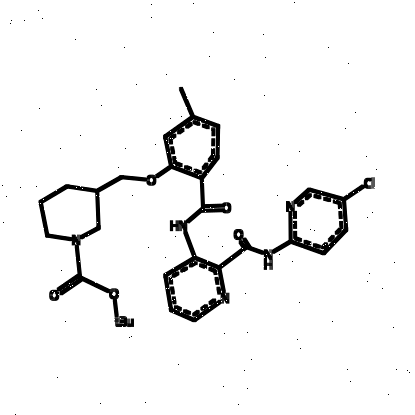 Cc1ccc(C(=O)Nc2cccnc2C(=O)Nc2ccc(Cl)cn2)c(OCC2CCCN(C(=O)OC(C)(C)C)C2)c1